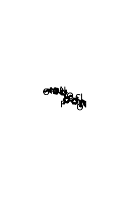 COCC(C)(C)N1CCN(c2cc(-c3cc(F)cc(-c4ccc(-n5ccn(C)c5=O)c(Cl)c4)c3OC)ccn2)CC1